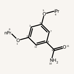 CCCOc1cc(OC(C)C)cc(C(N)=O)c1